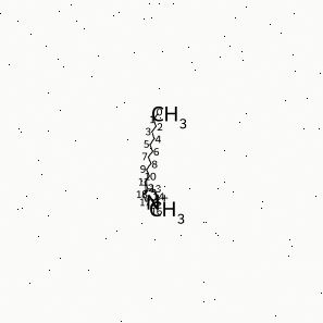 CCCCCCCCCCCCc1cc[n+](C)cc1